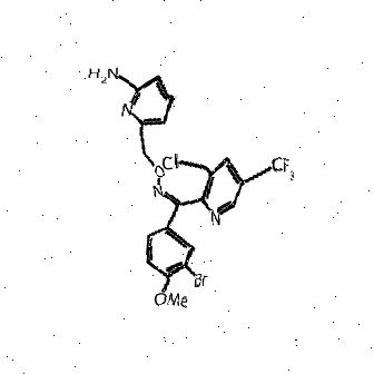 COc1ccc(C(=NOCc2cccc(N)n2)c2ncc(C(F)(F)F)cc2Cl)cc1Br